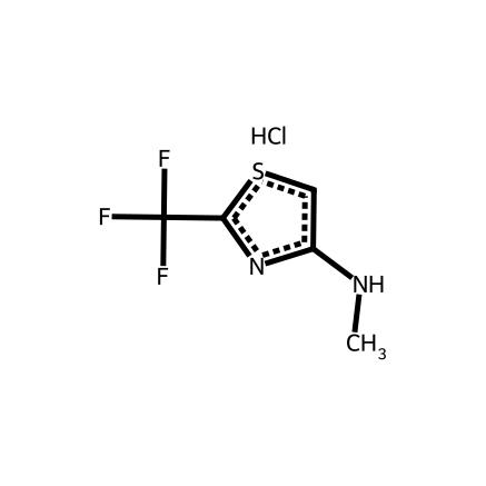 CNc1csc(C(F)(F)F)n1.Cl